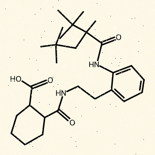 CC(C)(C)CC(C)(C(=O)Nc1ccccc1CCNC(=O)C1CCCCC1C(=O)O)C(C)(C)C